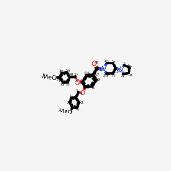 COc1ccc(COc2ccc(C(=O)N3CCC(N4CCCC4)CC3)cc2OCc2ccc(OC)cc2)cc1